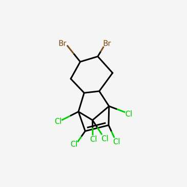 ClC1=C(Cl)C2(Cl)C3CC(Br)C(Br)CC3C1(Cl)C2(Cl)Cl